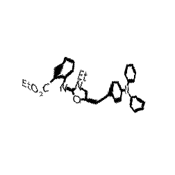 CCOC(=O)c1ccccc1/N=C1/O/C(=C/c2ccc(N(c3ccccc3)c3ccccc3)cc2)CN1CC